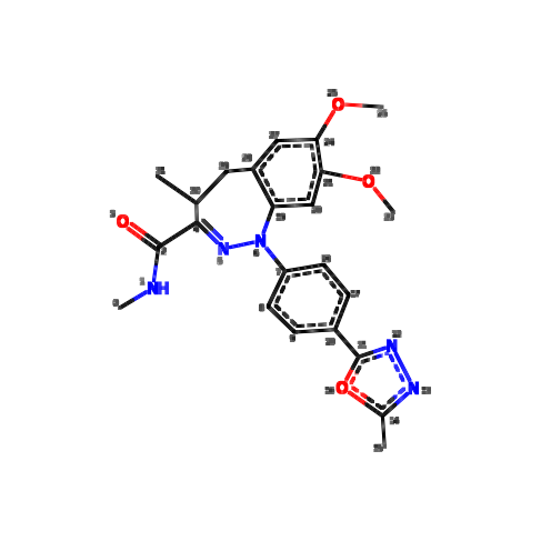 CNC(=O)C1=NN(c2ccc(-c3nnc(C)o3)cc2)c2cc(OC)c(OC)cc2CC1C